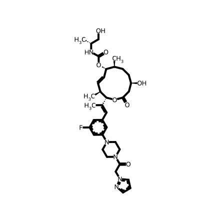 C/C(=C\c1cc(F)cc(N2CCN(C(=O)Cn3cccn3)CC2)c1)[C@H]1OC(=O)C[C@H](O)CC[C@H](C)[C@@H](OC(=O)N[C@H](C)CO)/C=C/[C@@H]1C